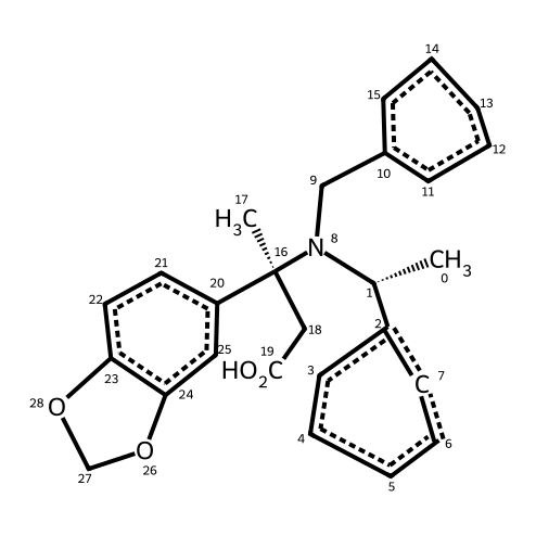 C[C@H](c1ccccc1)N(Cc1ccccc1)[C@@](C)(CC(=O)O)c1ccc2c(c1)OCO2